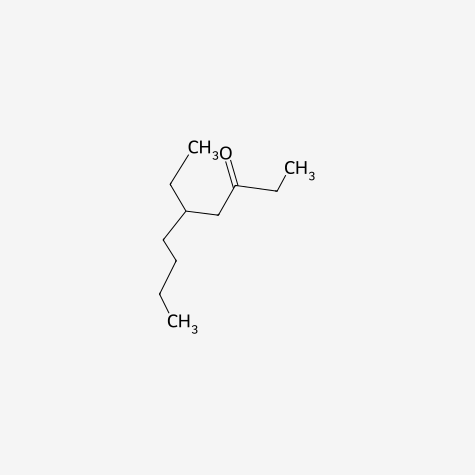 CCCCC(CC)CC(=O)CC